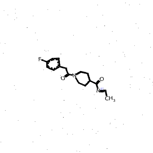 C/C=N/C(=O)C1CCN(C(=O)Cc2ccc(F)cc2)CC1